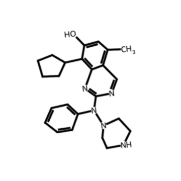 Cc1cc(O)c(C2CCCC2)c2nc(N(c3ccccc3)N3CCNCC3)ncc12